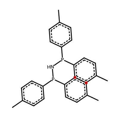 Cc1ccc(P(NP(c2ccc(C)cc2)c2ccc(C)cc2)c2ccc(C)cc2)cc1